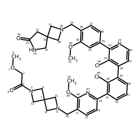 COCC(=O)N1CC2(CN(Cc3ccc(-c4cccc(-c5ccnc(-c6ccc(CN7CC8(CNC(=O)C8)C7)c(OC)c6)c5Cl)c4Cl)nc3OC)C2)C1